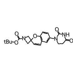 CC(C)(C)OC(=O)N1CC2(C=Cc3cc(N4CCC(=O)NC4=O)ccc3O2)C1